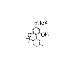 CCCCCCc1cc(O)c2c(c1)OC(C)(C)C1CCC(C)=CC21